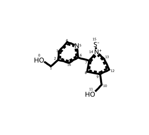 OCc1ccnc(-c2cc(CO)cc[n+]2[S-])c1